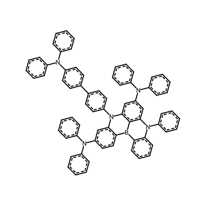 c1ccc(N(c2ccccc2)c2ccc(-c3ccc(N4c5cc(N(c6ccccc6)c6ccccc6)ccc5B5c6ccccc6N(c6ccccc6)c6cc(N(c7ccccc7)c7ccccc7)cc4c65)cc3)cc2)cc1